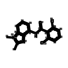 Cc1nc2c(NC(=O)c3c(Cl)cccc3Cl)cccc2n1C